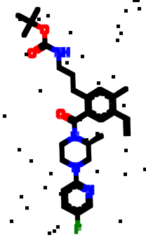 C=Cc1cc(C(=O)N2CCN(c3ccc(F)cn3)C[C@@H]2C)c(CCCNC(=O)OC(C)(C)C)cc1C